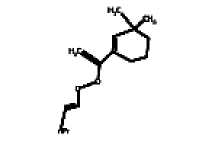 C=C(OOC=CCCC)C1=CC(C)(C)CCC1